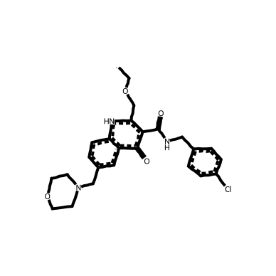 [CH2]COCc1[nH]c2ccc(CN3CCOCC3)cc2c(=O)c1C(=O)NCc1ccc(Cl)cc1